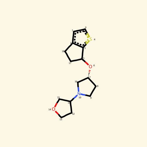 c1cc2c(s1)C(O[C@@H]1CCN(C3CCOC3)C1)CC2